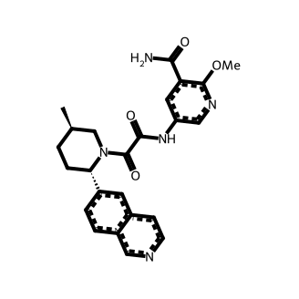 COc1ncc(NC(=O)C(=O)N2C[C@H](C)CC[C@H]2c2ccc3cnccc3c2)cc1C(N)=O